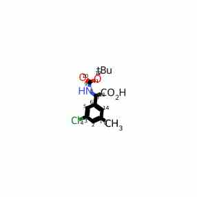 Cc1cc(Cl)cc(C(NC(=O)OC(C)(C)C)C(=O)O)c1